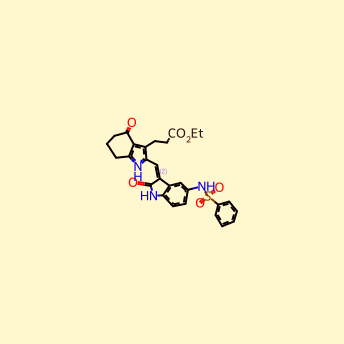 CCOC(=O)CCc1c(/C=C2\C(=O)Nc3ccc(NS(=O)(=O)c4ccccc4)cc32)[nH]c2c1C(=O)CCC2